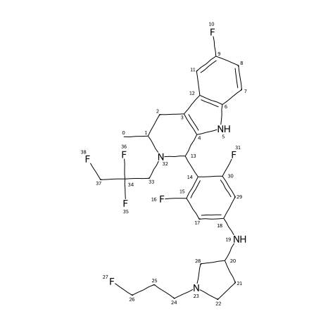 CC1Cc2c([nH]c3ccc(F)cc23)C(c2c(F)cc(NC3CCN(CCCF)C3)cc2F)N1CC(F)(F)CF